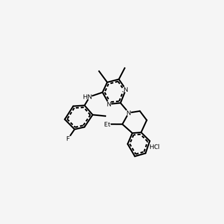 CCC1c2ccccc2CCN1c1nc(C)c(C)c(Nc2ccc(F)cc2C)n1.Cl